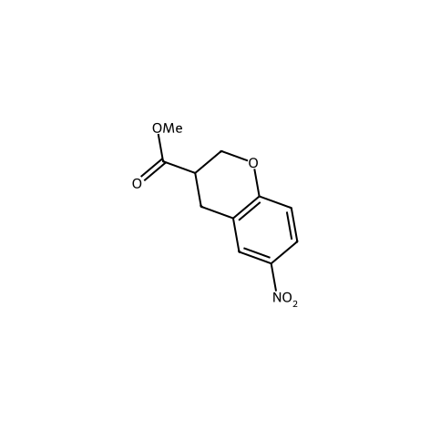 COC(=O)C1COc2ccc([N+](=O)[O-])cc2C1